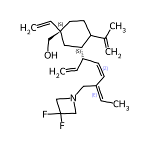 C=CC(/C=C\C(=C/C)CN1CC(F)(F)C1)[C@@H]1C[C@@](C=C)(CO)CCC1C(=C)C